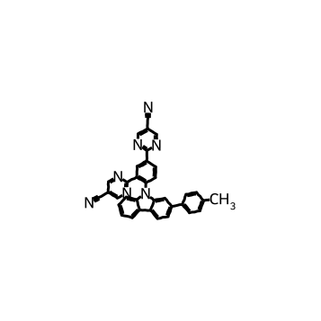 Cc1ccc(-c2ccc3c4ccccc4n(-c4ccc(-c5ncc(C#N)cn5)cc4-c4ncc(C#N)cn4)c3c2)cc1